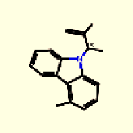 C=C(C)[C@@H](C)n1c2ccccc2c2c(C)cccc21